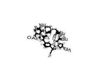 CC(=O)OCc1cc(N2CCN(CC(=O)NC(C(=O)N3C[C@H](O)C[C@H]3C(=O)NC(C)c3ccc(-c4scnc4C)cc3)C(C)(C)C)CC2)c(N)nn1